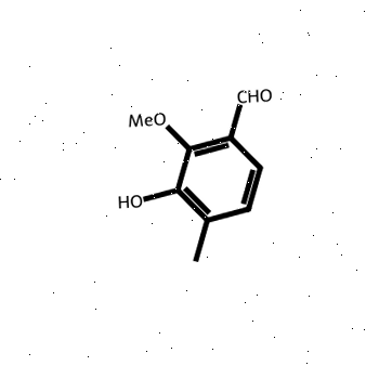 COc1c(C=O)ccc(C)c1O